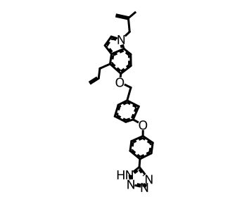 C=CCc1c(OCc2cccc(Oc3ccc(-c4nnn[nH]4)cc3)c2)ccc2c1ccn2CC(=C)C